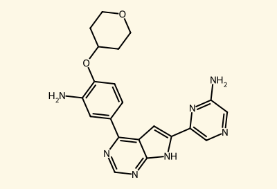 Nc1cncc(-c2cc3c(-c4ccc(OC5CCOCC5)c(N)c4)ncnc3[nH]2)n1